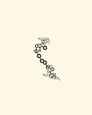 COC(=O)NC(C(=O)N1CCCC1c1ncc(-c2ccc3cc(-c4ccc(-c5cnc(C6CCCN6C(=O)C(NC(=O)OC(C)(C)C)c6ccccc6)[nH]5)cc4)ccc3c2)[nH]1)C(C)C